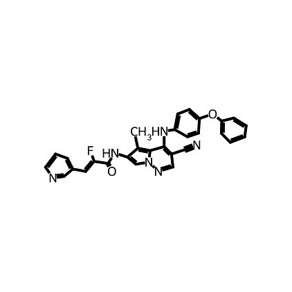 Cc1c(NC(=O)C(F)=Cc2cccnc2)cn2ncc(C#N)c(Nc3ccc(Oc4ccccc4)cc3)c12